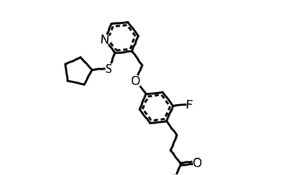 O=C(O)CCc1ccc(OCc2cccnc2SC2CCCC2)cc1F